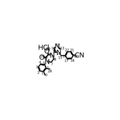 Cc1cccc(N2CCN(c3cncn3Cc3ccc(C#N)cc3)C(=O)C2=O)c1C.Cl